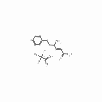 NC(C=CC(=O)O)CCc1ccccc1.O=C(O)C(F)(F)F